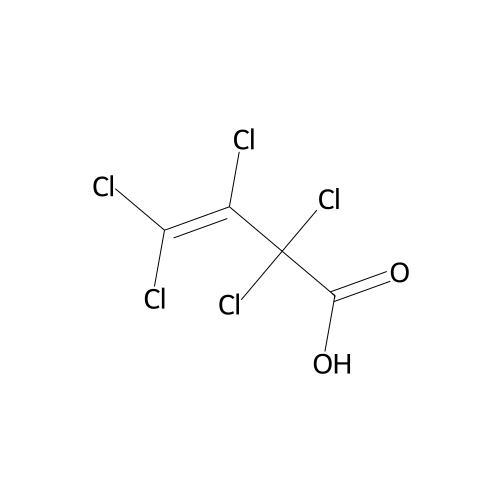 O=C(O)C(Cl)(Cl)C(Cl)=C(Cl)Cl